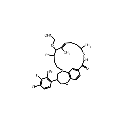 CCCc1c(C2COc3ccc4cc3N(CCC(CC)C(OCC=O)/C(C)=C/CCC(C)SNC4=O)C2)ccc(Cl)c1F